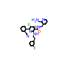 N#Cc1ccccc1-c1nc(NCCc2cccc(F)c2)c(C(=O)NCc2cccnc2CN)cc1F